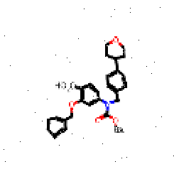 CC(C)(C)OC(=O)N(Cc1ccc(C2CCOCC2)cc1)c1ccc(C(=O)O)c(OCc2ccccc2)c1